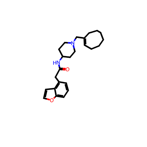 O=C(Cc1cccc2occc12)NC1CCN(CC2=CCCCCCC2)CC1